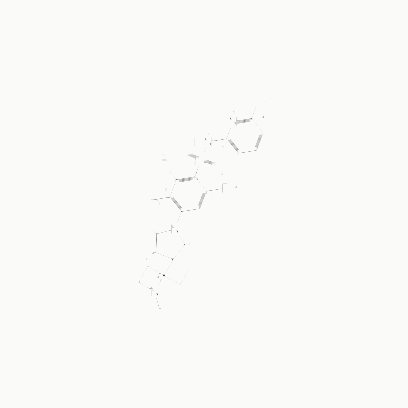 CN1CCC12CC[C@@]21CCN(c2cc(F)c(S(=O)(=O)Nc3cccc(F)n3)c(F)c2Cl)C1